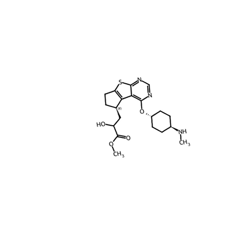 CN[C@H]1CC[C@H](Oc2ncnc3sc4c(c23)[C@@H](CC(O)C(=O)OC)CC4)CC1